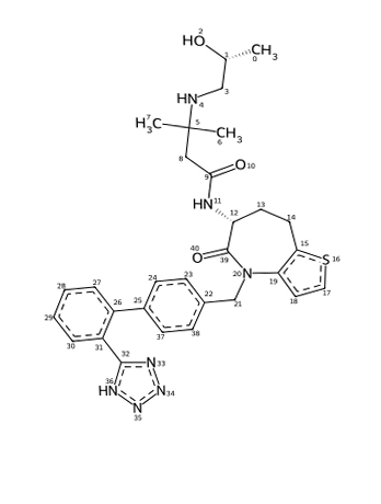 C[C@@H](O)CNC(C)(C)CC(=O)N[C@@H]1CCc2sccc2N(Cc2ccc(-c3ccccc3-c3nnn[nH]3)cc2)C1=O